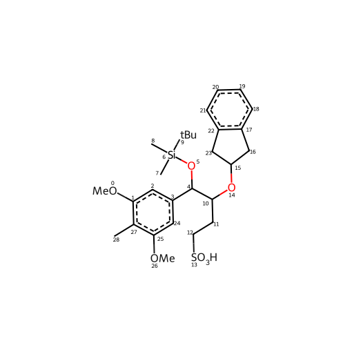 COc1cc(C(O[Si](C)(C)C(C)(C)C)C(CCS(=O)(=O)O)OC2Cc3ccccc3C2)cc(OC)c1C